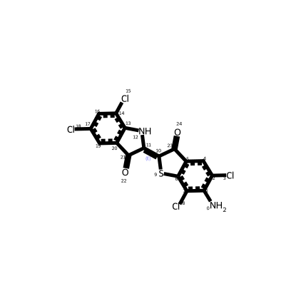 Nc1c(Cl)cc2c(c1Cl)S/C(=C1/Nc3c(Cl)cc(Cl)cc3C1=O)C2=O